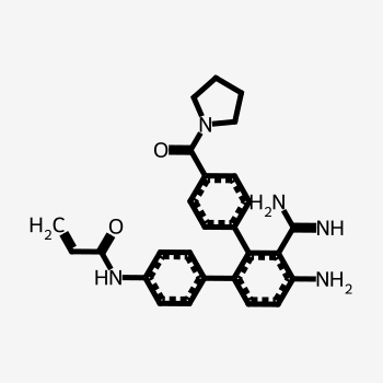 C=CC(=O)Nc1ccc(-c2ccc(N)c(C(=N)N)c2-c2ccc(C(=O)N3CCCC3)cc2)cc1